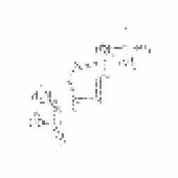 CC(N)(N)Nc1ccc(C[C@H](N)C(=O)O)cc1